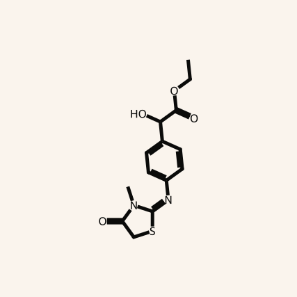 CCOC(=O)C(O)c1ccc(N=C2SCC(=O)N2C)cc1